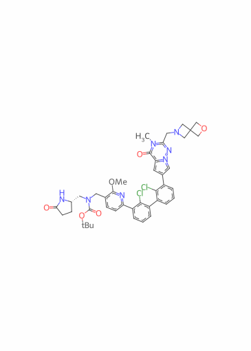 COc1nc(-c2cccc(-c3cccc(-c4cc5c(=O)n(C)c(CN6CC7(COC7)C6)nn5c4)c3Cl)c2Cl)ccc1CN(C[C@@H]1CCC(=O)N1)C(=O)OC(C)(C)C